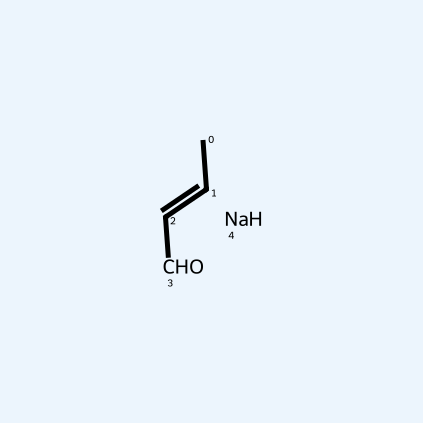 CC=CC=O.[NaH]